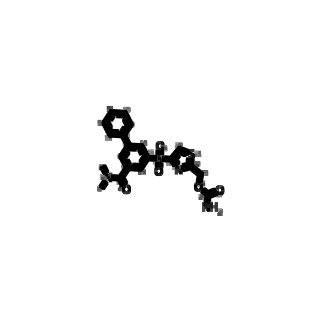 CN(C)C(=O)c1cc(-c2ccccc2)cc(S(=O)(=O)c2csc(COC(N)=O)n2)c1